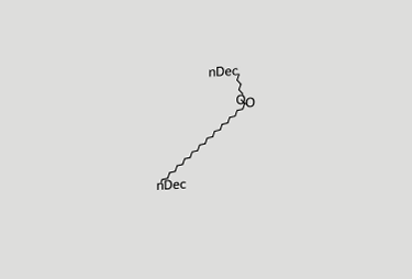 CCCCCCCCCCCCCCCCCCCCCCCCCCCCCCCCC(=O)OCCCCCCCCCCCCCCC